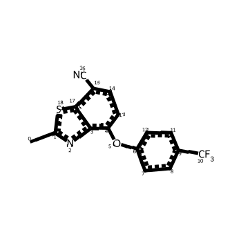 Cc1nc2c(Oc3ccc(C(F)(F)F)cc3)ccc(C#N)c2s1